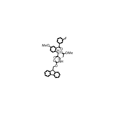 COC(=O)C[C@H](NC(=O)OCC1c2ccccc2-c2ccccc21)C(=O)Nc1ccc(OC)cc1C(=O)c1cccc(F)c1